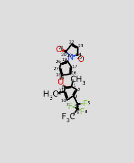 Cc1cc(C(F)C(F)(F)C(F)(F)F)cc(C)c1Oc1ccc(N2C(=O)C=CC2=O)cc1